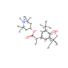 CC(C(=O)OC1CC(C)(C)N(C)C(C)(C)C1)c1cc(C(C)(C)C)c(O)c(C(C)(C)C)c1